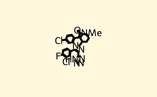 CNC(=O)Cc1ccc(Cl)cc1-n1c(C2CCCCC2)nc(-c2nnn[nH]2)c1-c1ccc(F)c(Cl)c1